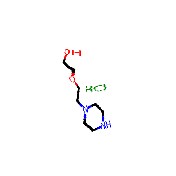 Cl.OCCOCCN1CCNCC1